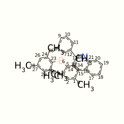 Cc1cc(C)c(B(c2ccccc2-c2ccc3ccccc3n2)c2c(C)cc(C)cc2C)c(C)c1